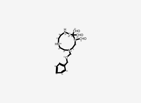 O=CN1CCN(COCc2ccccc2)CCNCCNCC1(C=O)C=O